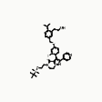 CC(C)c1ccc(COc2ccc(-c3c(-c4ccncc4)nn4c3C(=O)N(CCO[Si](C)(C)C(C)(C)C)CC4)c(F)c2)cc1CCO